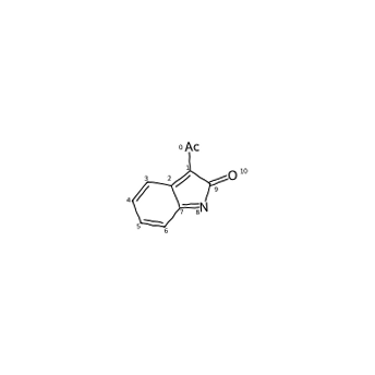 CC(=O)C1=c2ccccc2=NC1=O